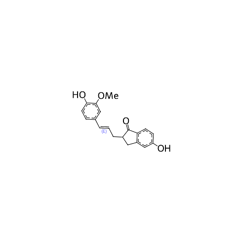 COc1cc(/C=C/CC2Cc3cc(O)ccc3C2=O)ccc1O